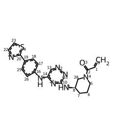 C=CC(=O)N1CCC[C@@H](Nc2nncc(Nc3ccc(-c4nccs4)cc3)n2)C1